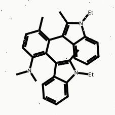 CCn1c(C)c(-c2c(C)ccc(N(C)C)c2-c2c(C)n(CC)c3ccccc23)c2ccccc21